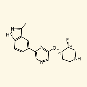 Cc1n[nH]c2ccc(-c3cncc(O[C@H]4CCNC[C@@H]4F)n3)cc12